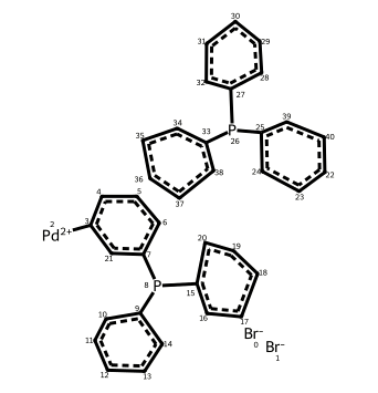 [Br-].[Br-].[Pd+2][c]1cccc(P(c2ccccc2)c2ccccc2)c1.c1ccc(P(c2ccccc2)c2ccccc2)cc1